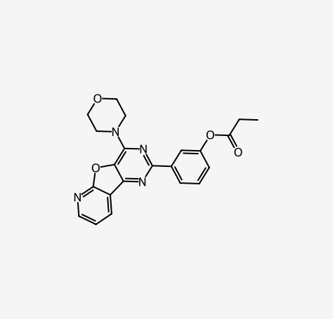 CCC(=O)Oc1cccc(-c2nc(N3CCOCC3)c3oc4ncccc4c3n2)c1